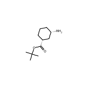 CC(C)(C)OC(=O)[C@@H]1CCC[C@H](N)C1